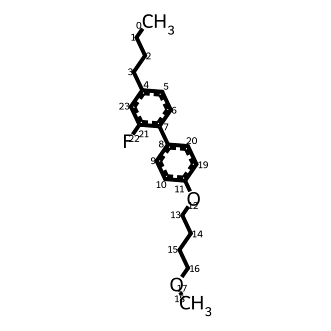 CCCCc1ccc(-c2ccc(OCCCCOC)cc2)c(F)c1